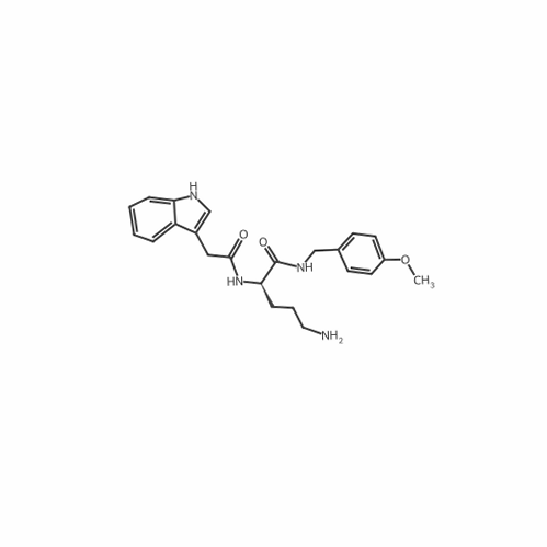 COc1ccc(CNC(=O)[C@@H](CCCN)NC(=O)Cc2c[nH]c3ccccc23)cc1